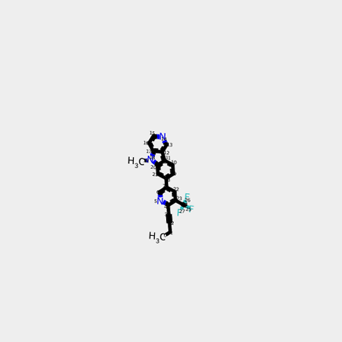 CCC#Cc1ncc(-c2ccc3c4cnccc4n(C)c3c2)cc1C(F)(F)F